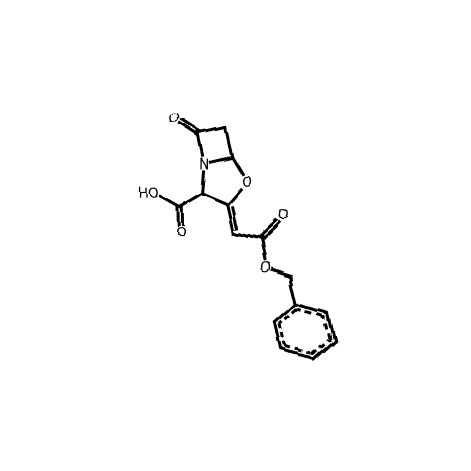 O=C(C=C1OC2CC(=O)N2C1C(=O)O)OCc1ccccc1